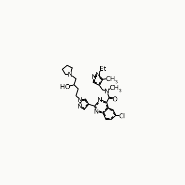 CCn1ncc(CN(C)C(=O)c2nc(-c3cnn(CCC(O)CN4CCCC4)c3)nc3ccc(Cl)cc23)c1C